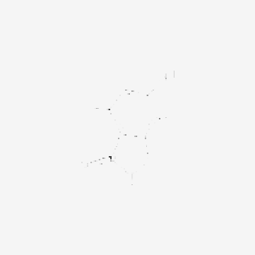 Cc1cc(N)nc2s[nH]c(=O)c12